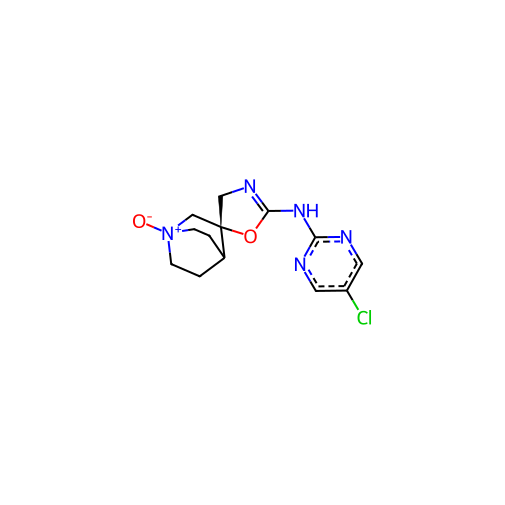 [O-][N+]12CCC(CC1)[C@]1(CN=C(Nc3ncc(Cl)cn3)O1)C2